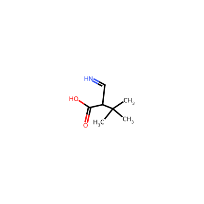 CC(C)(C)C(C=N)C(=O)O